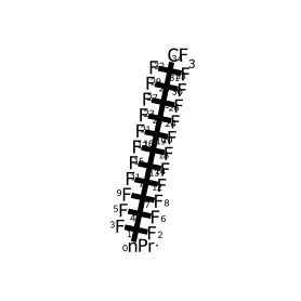 CC[CH]C(F)(F)C(F)(F)C(F)(F)C(F)(F)C(F)(F)C(F)(F)C(F)(F)C(F)(F)C(F)(F)C(F)(F)C(F)(F)C(F)(F)F